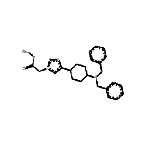 CCCCOC(=O)Cn1cc(C2CCC(N(Cc3ccccc3)Cc3ccccc3)CC2)nn1